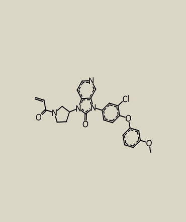 C=CC(=O)N1CCC(n2c(=O)n(-c3ccc(Oc4cccc(OC)c4)c(Cl)c3)c3cnccc32)C1